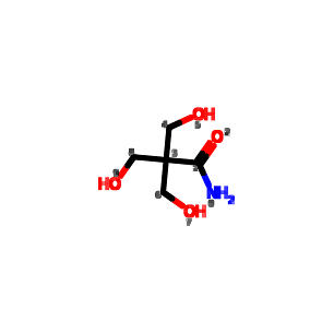 NC(=O)C(CO)(CO)CO